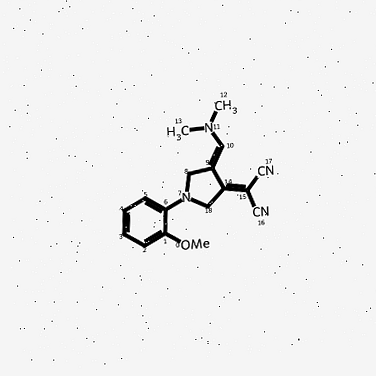 COc1ccccc1N1CC(=CN(C)C)C(=C(C#N)C#N)C1